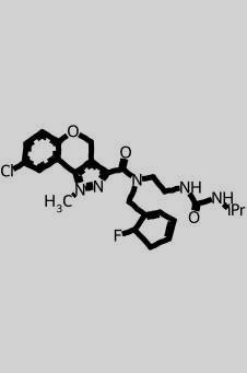 CC(C)NC(=O)NCCN(CC1=CC=CCC1F)C(=O)c1nn(C)c2c1COc1ccc(Cl)cc1-2